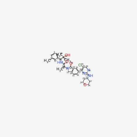 Cc1cccc([C@H](NC(=O)[C@@H](C)N2Cc3ccc(-c4nc(NC5CCOCC5)ncc4Cl)cc3C2=O)C(C)(C)O)c1